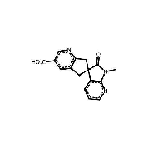 CN1C(=O)[C@]2(Cc3cc(C(=O)O)cnc3C2)c2cccnc21